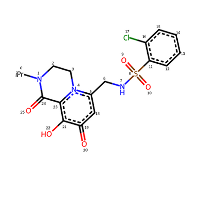 CC(C)N1CCn2c(CNS(=O)(=O)c3ccccc3Cl)cc(=O)c(O)c2C1=O